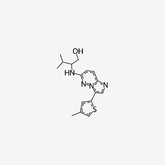 Cc1csc(-c2cnc3ccc(NC(CO)C(C)C)nn23)c1